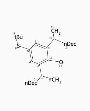 CCCCCCCCCCC(C)c1cc(SC(C)(C)C)cc(C(C)CCCCCCCCCC)c1[O]